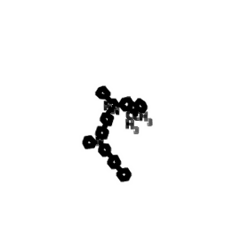 CC1(C)c2ccccc2-c2ccc(-c3cc(-c4ccccc4)nc(-c4ccc(-c5ccc(N(c6ccccc6)c6ccc(-c7ccc(-c8ccccc8)cc7)cc6)cc5)cc4)n3)cc21